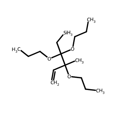 C=CC(C)(OCCC)C(C[SiH3])(OCCC)OCCC